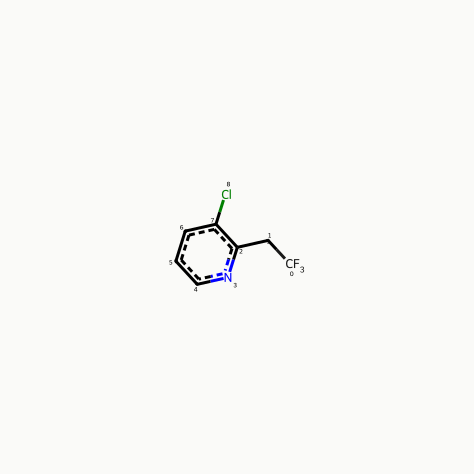 FC(F)(F)[CH]c1ncccc1Cl